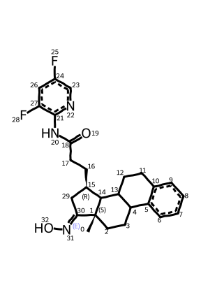 C[C@]12CCC3c4ccccc4CCC3C1[C@H](CCC(=O)Nc1ncc(F)cc1F)C/C2=N\O